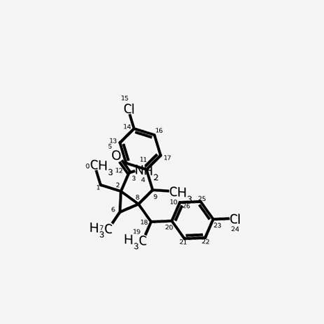 CCC1(C(N)=O)C(C)C1(C(C)c1ccc(Cl)cc1)C(C)c1ccc(Cl)cc1